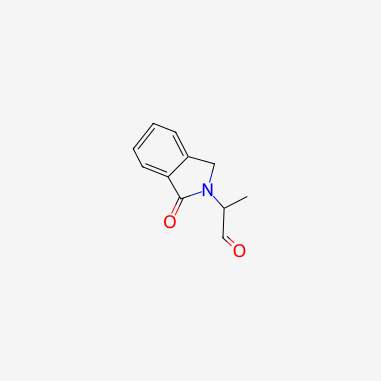 CC(C=O)N1Cc2ccccc2C1=O